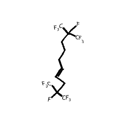 FC(F)(F)C(F)(CC=CCCCC(F)(C(F)(F)F)C(F)(F)F)C(F)(F)F